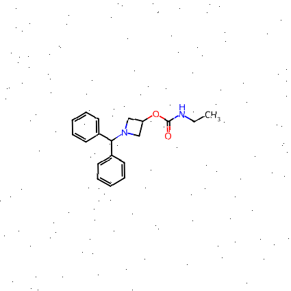 CCNC(=O)OC1CN(C(c2ccccc2)c2ccccc2)C1